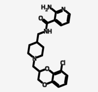 Nc1ncccc1C(=O)NCC1CCN(CC2COc3cccc(Cl)c3O2)CC1